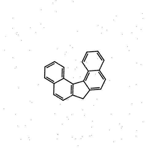 [c]1cccc2ccc3c(c12)-c1c(ccc2ccccc12)C3